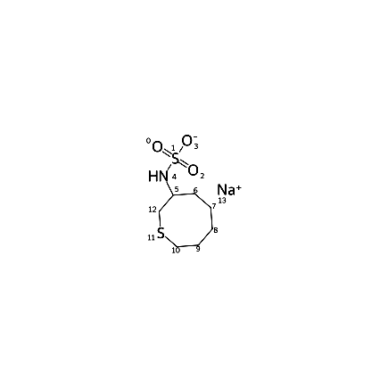 O=S(=O)([O-])NC1CCCCCSC1.[Na+]